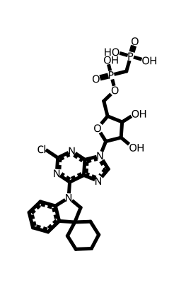 O=P(O)(O)CP(=O)(O)OCC1OC(n2cnc3c(N4CC5(CCCCC5)c5ccccc54)nc(Cl)nc32)C(O)C1O